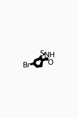 O=c1[nH]sc2cc(Br)ccc12